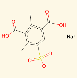 Cc1c(C(=O)O)cc(S(=O)(=O)[O-])c(C)c1C(=O)O.[Na+]